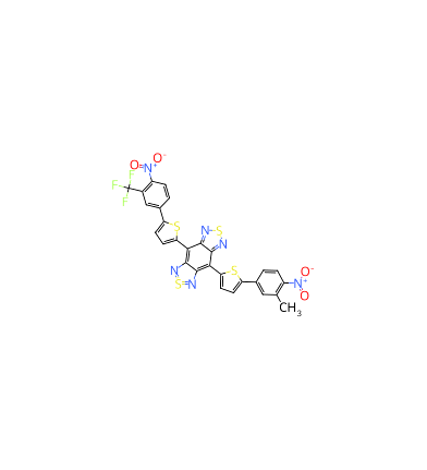 Cc1cc(-c2ccc(-c3c4c(c(-c5ccc(-c6ccc([N+](=O)[O-])c(C(F)(F)F)c6)s5)c5nsnc35)N=S=N4)s2)ccc1[N+](=O)[O-]